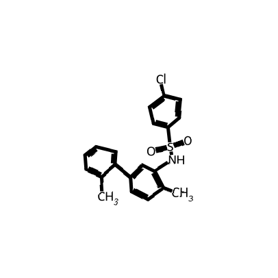 Cc1ccc(-c2ccccc2C)cc1NS(=O)(=O)c1ccc(Cl)cc1